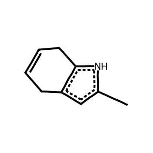 Cc1cc2c([nH]1)CC=CC2